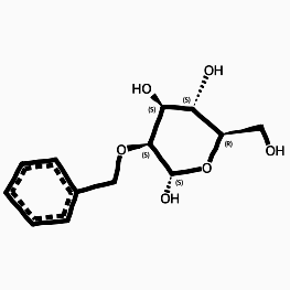 OC[C@H]1O[C@H](O)[C@@H](OCc2ccccc2)[C@@H](O)[C@@H]1O